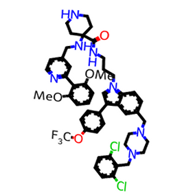 COc1cccc(OC)c1-c1cc(CNC2(C(=O)NCCCn3cc(-c4ccc(OC(F)(F)F)cc4)c4cc(CN5CCN(Cc6c(Cl)cccc6Cl)CC5)ccc43)CCNCC2)ccn1